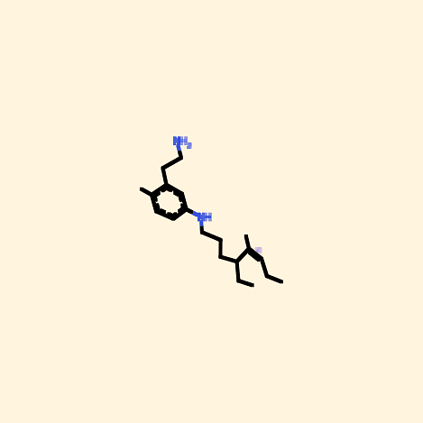 CC/C=C(/C)C(CC)CCCNc1ccc(C)c(CCN)c1